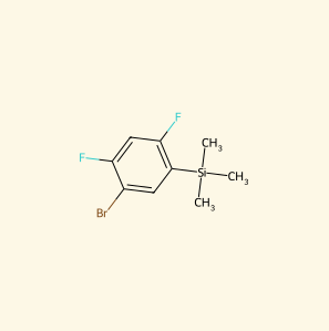 C[Si](C)(C)c1cc(Br)c(F)cc1F